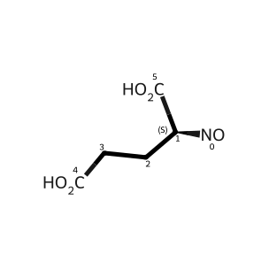 O=N[C@@H](CCC(=O)O)C(=O)O